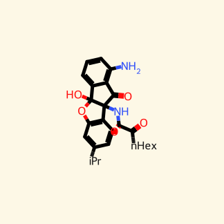 CCCCCCC(=O)C(=O)NC12C(=O)c3c(N)cccc3C1(O)Oc1cc(C(C)C)ccc12